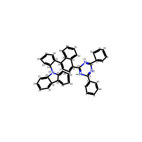 c1ccc(-c2nc(-c3ccccc3)nc(-c3ccc(-c4ccccc4-n4c5ccccc5c5ccccc54)c4ccccc34)n2)cc1